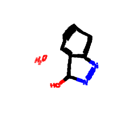 O.OC1N=Nc2ccccc21